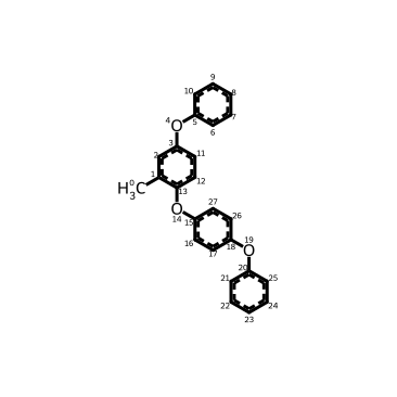 Cc1cc(Oc2ccccc2)ccc1Oc1ccc(Oc2ccccc2)cc1